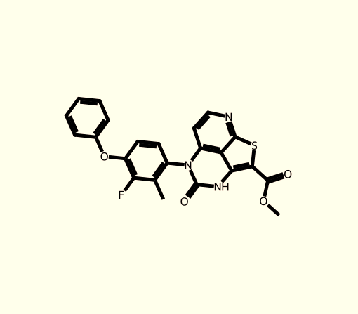 COC(=O)c1sc2nccc3c2c1NC(=O)N3c1ccc(Oc2ccccc2)c(F)c1C